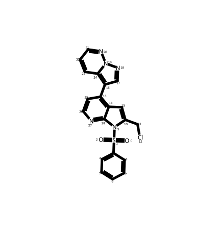 O=S(=O)(c1ccccc1)n1c(CCl)cc2c(-c3cnn4ncccc34)ccnc21